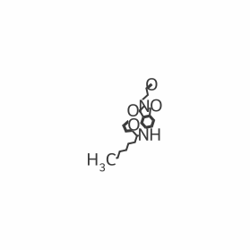 CCCCCCC(Nc1ccc2c(c1)C(=O)N(CCC=O)C2=O)c1ccco1